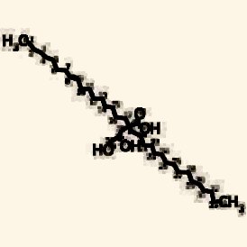 CCCCCCCCC=CCCCCCCCCC(CCCCCCCCCCCCCCCC)(CC(O)CO)C(=O)O